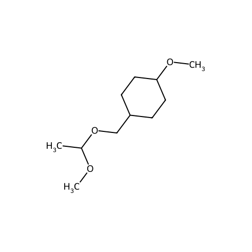 COC1CCC(COC(C)OC)CC1